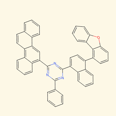 c1ccc(-c2nc(-c3ccc(-c4cccc5oc6ccccc6c45)c4ccccc34)nc(-c3cc4c5ccccc5ccc4c4ccccc34)n2)cc1